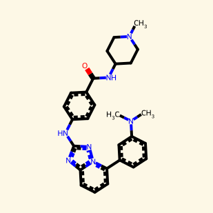 CN1CCC(NC(=O)c2ccc(Nc3nc4cccc(-c5cccc(N(C)C)c5)n4n3)cc2)CC1